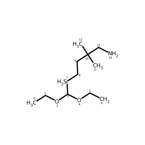 CCOC(OCC)[SiH2]CCC(C)(C)CN